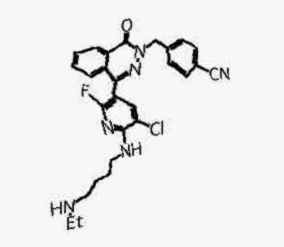 CCNCCCCNc1nc(F)c(-c2nn(Cc3ccc(C#N)cc3)c(=O)c3ccccc23)cc1Cl